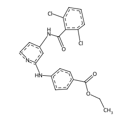 CCOC(=O)c1ccc(Nc2cc(NC(=O)c3c(Cl)cccc3Cl)ccn2)cc1